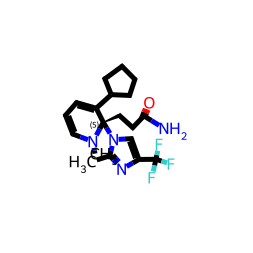 Cc1nc(C(F)(F)F)cn1[C@@]1(CCC(N)=O)C(C2CCCC2)=CC=CN1C